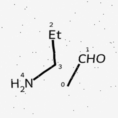 CC=O.CCCN